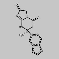 C[C@@]1(c2ccc3sccc3c2)CC(=O)N2CC(=O)N=C2N1